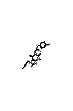 C=C1c2c(nc(C)n2CC#CC)N(C)C(=C)N1Cc1nc2cc(F)ccc2s1